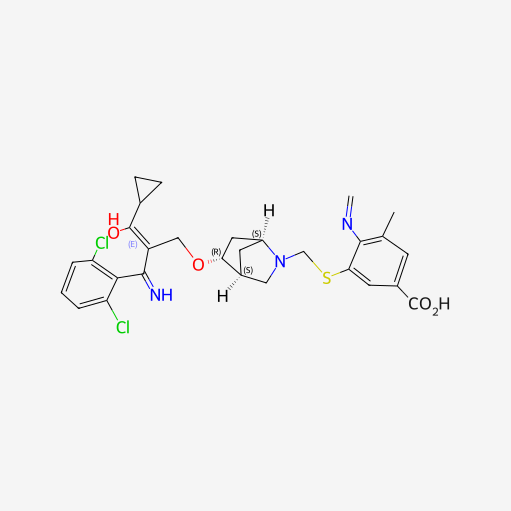 C=Nc1c(C)cc(C(=O)O)cc1SCN1C[C@@H]2C[C@H]1C[C@H]2OC/C(C(=N)c1c(Cl)cccc1Cl)=C(/O)C1CC1